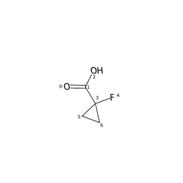 O=C(O)C1(F)CC1